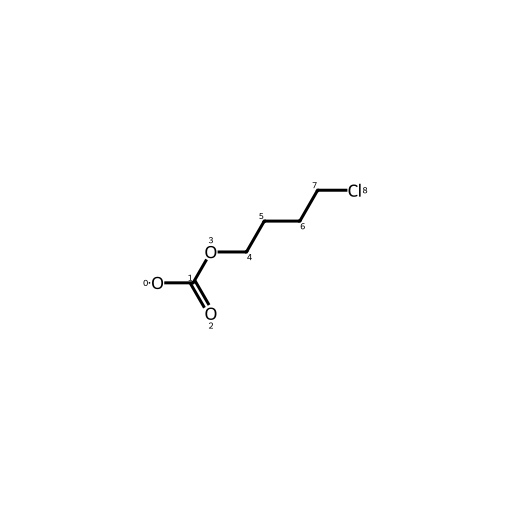 [O]C(=O)OCCCCCl